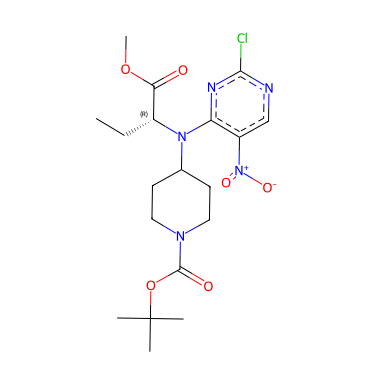 CC[C@H](C(=O)OC)N(c1nc(Cl)ncc1[N+](=O)[O-])C1CCN(C(=O)OC(C)(C)C)CC1